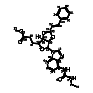 CCNC(=O)Nc1ncnc2c1ncn2C1OC(CCC(=O)OC)[C@H]2O[C@@H](C=Cc3ccccc3)OC12